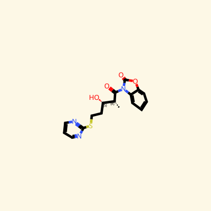 C[C@@H](C(=O)n1c(=O)oc2ccccc21)[C@@H](O)CCSc1ncccn1